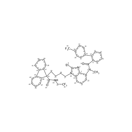 CCc1nc2c(N(C)C(=O)c3ccccc3-c3ccc(C(F)(F)F)cc3)cccc2n1CCCCC1(C(=O)NCC(F)(F)F)c2ccccc2-c2ccccc21